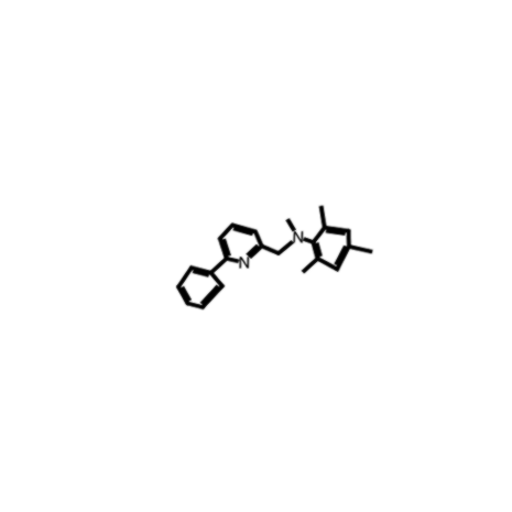 Cc1cc(C)c(N(C)Cc2cccc(-c3ccccc3)n2)c(C)c1